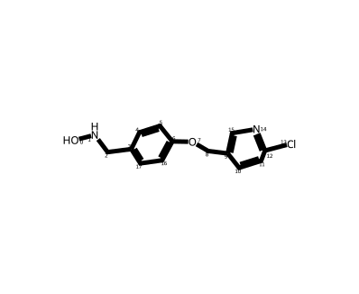 ONCc1ccc(OCc2ccc(Cl)nc2)cc1